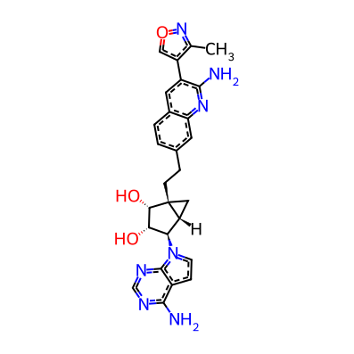 Cc1nocc1-c1cc2ccc(CC[C@@]34C[C@@H]3[C@@H](n3ccc5c(N)ncnc53)[C@H](O)[C@@H]4O)cc2nc1N